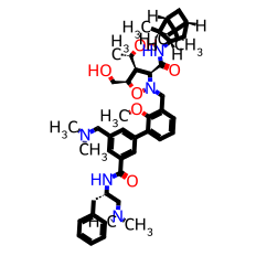 COc1c(CN2O[C@@H](CO)[C@@H]([C@H](C)O)[C@H]2C(=O)N[C@H]2C[C@H]3C[C@@H]([C@@H]2C)C3(C)C)cccc1-c1cc(CN(C)C)cc(C(=O)N[C@@H](Cc2ccccc2)CN(C)C)c1